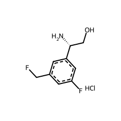 Cl.N[C@H](CO)c1cc(F)cc(CF)c1